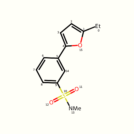 CCc1ccc(-c2cccc(S(=O)(=O)NC)c2)o1